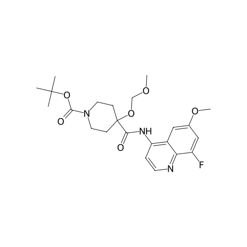 COCOC1(C(=O)Nc2ccnc3c(F)cc(OC)cc23)CCN(C(=O)OC(C)(C)C)CC1